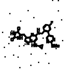 CSc1ncc(-c2cc(F)ccc2CNc2cc(NC3CC3)n3ncc(/C=C4\NC(=O)NC4=O)c3n2)cn1